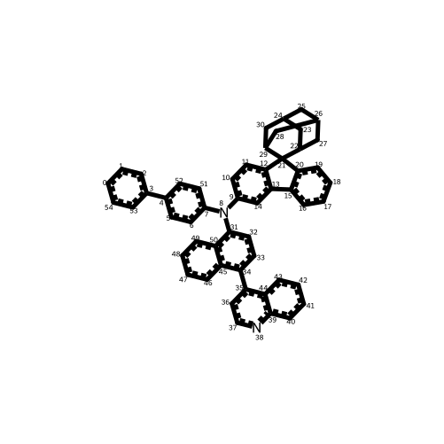 c1ccc(-c2ccc(N(c3ccc4c(c3)-c3ccccc3C43C4CC5CC(C4)CC3C5)c3ccc(-c4ccnc5ccccc45)c4ccccc34)cc2)cc1